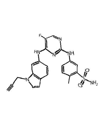 C#CCn1ccc2ccc(Nc3nc(Nc4ccc(C)c(S(N)(=O)=O)c4)ncc3F)cc21